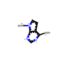 CNc1ncnc2c1ccn2NC